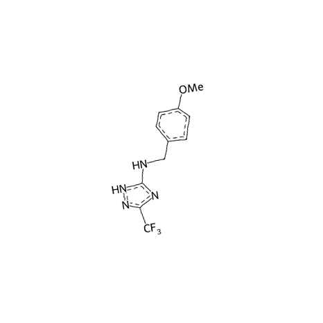 COc1ccc(CNc2nc(C(F)(F)F)n[nH]2)cc1